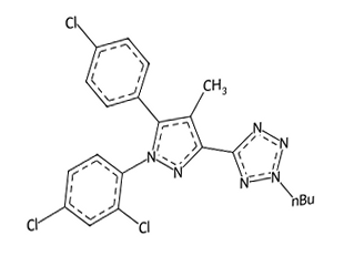 CCCCn1nnc(-c2nn(-c3ccc(Cl)cc3Cl)c(-c3ccc(Cl)cc3)c2C)n1